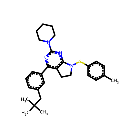 Cc1ccc(SN2CCc3c(-c4cccc(CC(C)(C)C)c4)nc(N4CCCCC4)nc32)cc1